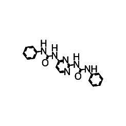 O=C(Nc1ccccc1)Nc1ccnc(NC(=O)Nc2ccccc2)n1